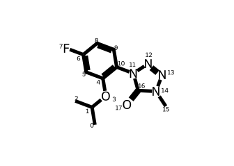 CC(C)Oc1cc(F)ccc1-n1nnn(C)c1=O